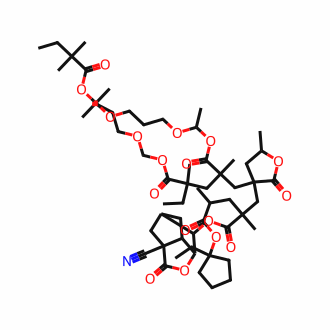 CCCOCOC(=O)C(C)(CC)CC(C)(CC1(CC(C)(CC(C)C(=O)OC2(CC)CCCC2)C(=O)OC2C3CC4C2OC(=O)C4(C#N)C3)CC(C)OC1=O)C(=O)OC(C)OCCCOC(C)(C)OC(=O)C(C)(C)CC